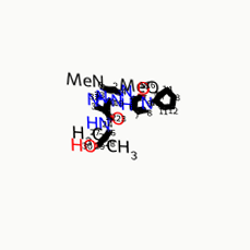 CNc1cc(Nc2cccn([C@@H]3CCCC[C@@H]3OC)c2=O)nc2c(C(=O)NCC(C)(C)CO)cnn12